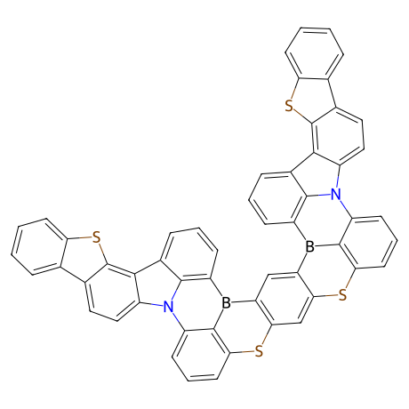 c1cc2c3c(c1)-n1c4ccc5c6ccccc6sc5c4c4cccc(c41)B3c1cc3c(cc1S2)Sc1cccc2c1B3c1cccc3c4c5sc6ccccc6c5ccc4n-2c13